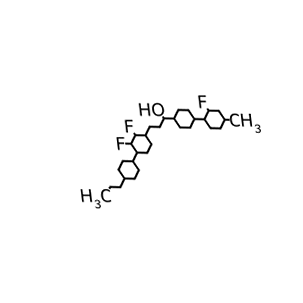 CCCC1CCC(C2CCC(CCC(O)C3CCC(C4CCC(C)CC4F)CC3)C(F)C2F)CC1